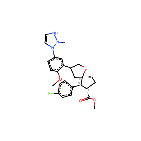 COC(=O)[C@H]1CC[C@@]2(CC(c3cc(N4C=CNN4C)ccc3OC)CO2)[C@@H]1c1ccc(F)cc1